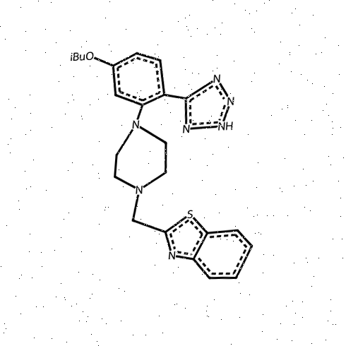 CC(C)COc1ccc(-c2nn[nH]n2)c(N2CCN(Cc3nc4ccccc4s3)CC2)c1